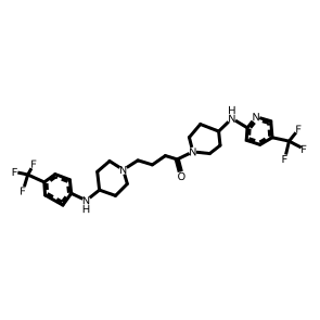 O=C(CCCN1CCC(Nc2ccc(C(F)(F)F)cc2)CC1)N1CCC(Nc2ccc(C(F)(F)F)cn2)CC1